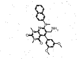 COc1cc(OC)cc(-c2c(CN)c(N(C)c3ccc4ccccc4c3)nc3c2c(=O)n(C)c(=O)n3C)c1